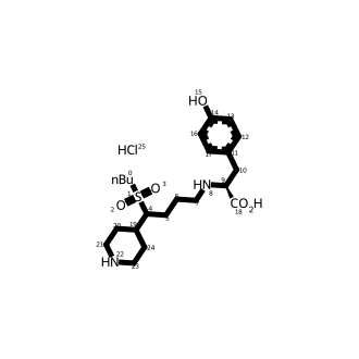 CCCCS(=O)(=O)C(CCCN[C@@H](Cc1ccc(O)cc1)C(=O)O)C1CCNCC1.Cl